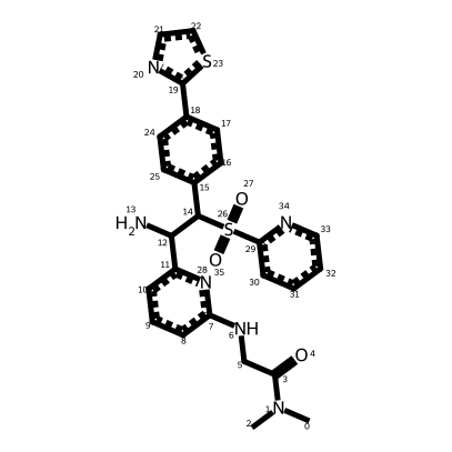 CN(C)C(=O)CNc1cccc(C(N)C(c2ccc(-c3nccs3)cc2)S(=O)(=O)c2ccccn2)n1